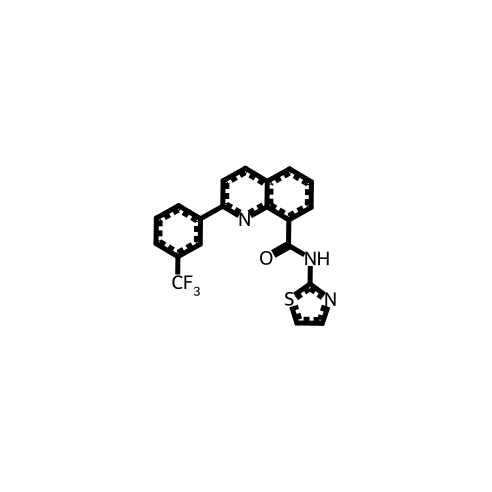 O=C(Nc1nccs1)c1cccc2ccc(-c3cccc(C(F)(F)F)c3)nc12